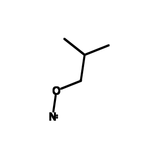 CC(C)CO[N]